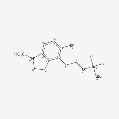 CC(C)(C)[Si](C)(C)OCCc1c(Br)ccc2c1CCN2C(=O)O